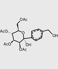 CC(=O)OC[C@H]1O[C@@](O)(c2ccc(CO)cc2)[C@@H](OC(C)=O)[C@@H](OC(C)=O)[C@@H]1OC(C)=O